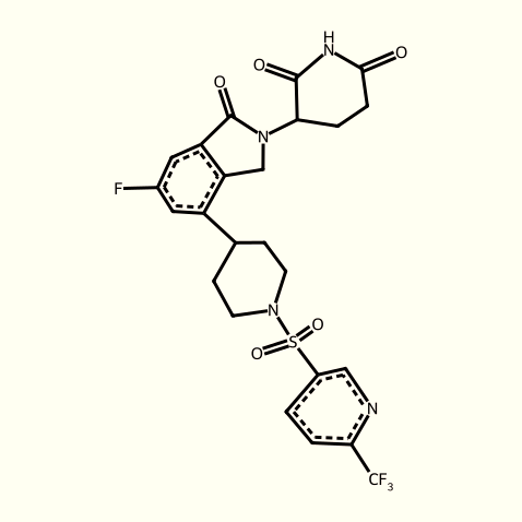 O=C1CCC(N2Cc3c(cc(F)cc3C3CCN(S(=O)(=O)c4ccc(C(F)(F)F)nc4)CC3)C2=O)C(=O)N1